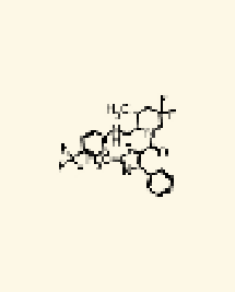 Cc1nc(-c2ccccc2)c(C(=O)N2CC(F)(F)C[C@@H](C)C2CNc2ccc(C(F)(F)F)cn2)s1